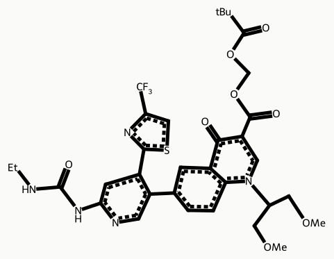 CCNC(=O)Nc1cc(-c2nc(C(F)(F)F)cs2)c(-c2ccc3c(c2)c(=O)c(C(=O)OCOC(=O)C(C)(C)C)cn3C(COC)COC)cn1